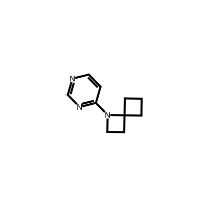 [c]1nccc(N2CCC23CCC3)n1